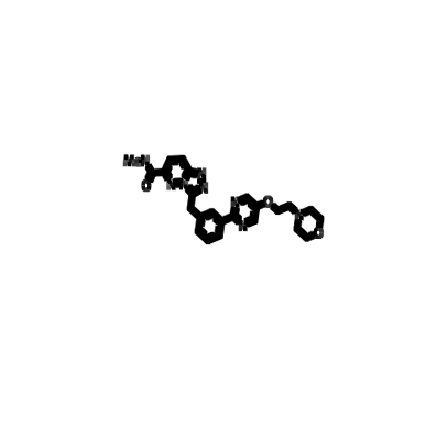 CNC(=O)c1ccc2nnc(Cc3cccc(-c4ncc(OCCN5CCOCC5)cn4)c3)n2n1